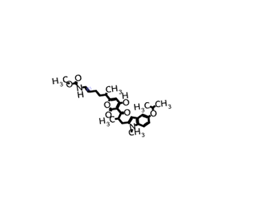 COC(=O)N/C=C/CCC(C)c1cc(O)c(C(=O)C(C)Cc2cc3cc(OC(C)C)ccc3n2C)c(=O)o1